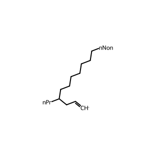 [CH]=CCC(CCC)CCCCCCCCCCCCCCCC